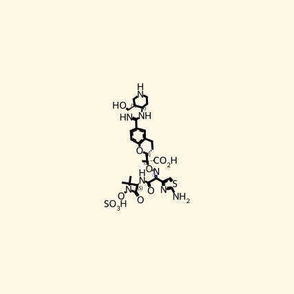 CC1(C)[C@H](NC(=O)/C(=N\O[C@](C)(C(=O)O)[C@H]2CCc3cc(C(=N)N[C@@H]4CCNC[C@@H]4CO)ccc3O2)c2csc(N)n2)C(=O)N1OS(=O)(=O)O